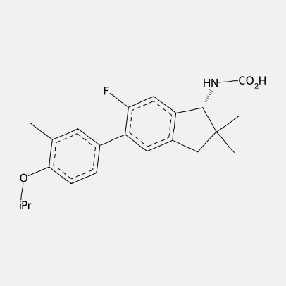 Cc1cc(-c2cc3c(cc2F)[C@H](NC(=O)O)C(C)(C)C3)ccc1OC(C)C